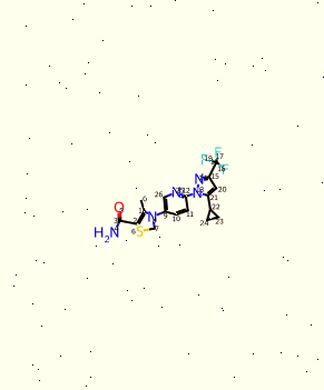 CC1=C(C(N)=O)SCN1c1ccc(-n2nc(C(F)(F)F)cc2C2CC2)nc1